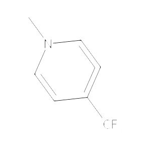 CN1C=C=C(C(F)(F)F)C=C1